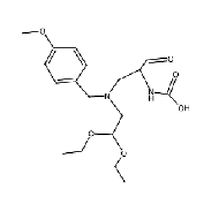 CCOC(CN(Cc1ccc(OC)cc1)CC(C=O)NC(=O)O)OCC